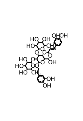 CC1OC(OC2C(OCCc3ccc(O)c(O)c3)OC(CO)C(OC(=O)/C=C/c3ccc(O)c(O)c3)C2OC2OC(C)C(O)C(O)C2O)C(O)C(O)C1O